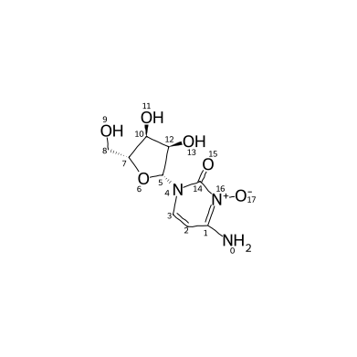 Nc1ccn([C@@H]2O[C@H](CO)[C@@H](O)[C@H]2O)c(=O)[n+]1[O-]